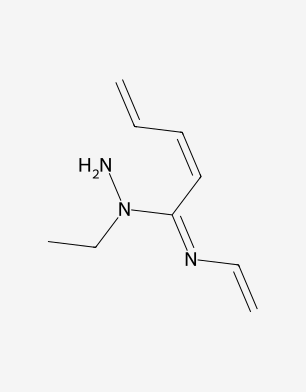 C=C/C=C\C(=N/C=C)N(N)CC